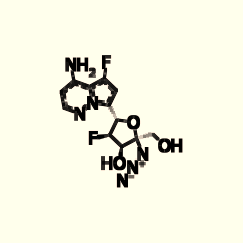 [N-]=[N+]=N[C@]1(CO)O[C@@H](c2cc(F)c3c(N)ccnn23)[C@H](F)[C@@H]1O